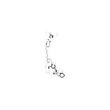 O=C(O)C(Cc1ccccc1)NS(=O)(=O)c1cnc(N2CCC(CCCCCC3CCN(S(=O)(=O)c4cc(Br)c(Cl)s4)CC3)CC2)c(C(F)(F)F)c1